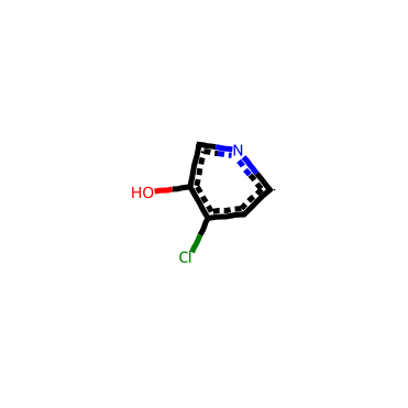 Oc1cn[c]cc1Cl